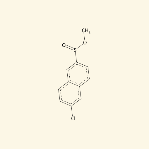 COS(=O)c1ccc2cc(Cl)ccc2c1